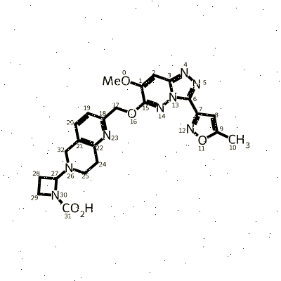 COc1cc2nnc(-c3cc(C)on3)n2nc1OCc1ccc2c(n1)CCN(C1CCN1C(=O)O)C2